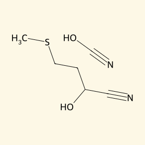 CSCCC(O)C#N.N#CO